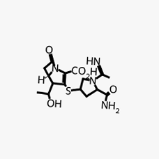 CC(=N)N1CC(SC2=C(C(=O)O)N3C(=O)C[C@@H]3C2C(C)O)CC1C(N)=O